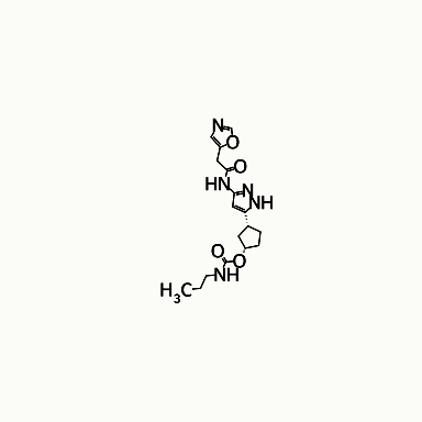 CCCNC(=O)O[C@H]1CC[C@@H](c2cc(NC(=O)Cc3cnco3)n[nH]2)C1